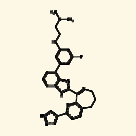 CN(C)CCNc1cc(F)cc(-c2cccc3[nH]c(C4=NCCCc5ccc(-c6cn[nH]c6)nc54)nc23)c1